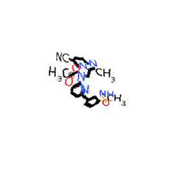 Cc1nc2ccc(C#N)cn2c1CN1C(=O)[C@@H](C)Oc2ccc(-c3cccc(S(C)(=N)=O)c3)nc21